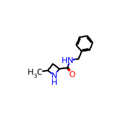 CC1CC(C(=O)NCc2ccccc2)N1